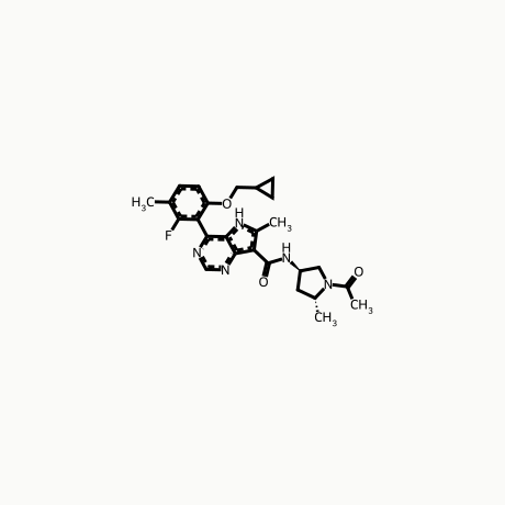 CC(=O)N1C[C@H](NC(=O)c2c(C)[nH]c3c(-c4c(OCC5CC5)ccc(C)c4F)ncnc23)C[C@H]1C